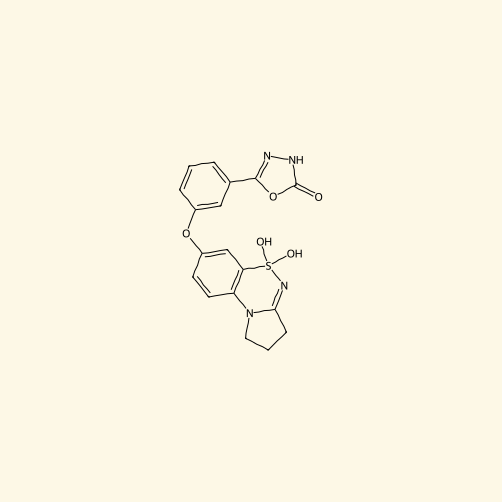 O=c1[nH]nc(-c2cccc(Oc3ccc4c(c3)S(O)(O)N=C3CCCN34)c2)o1